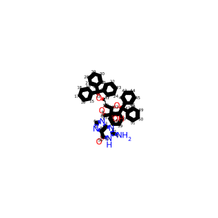 Nc1nc2c(ncn2[C@@H]2O[C@H](COC(c3ccccc3)(c3ccccc3)c3ccccc3)[C@@H](OC(c3ccccc3)(c3ccccc3)c3ccccc3)[C@H]2O)c(=O)[nH]1